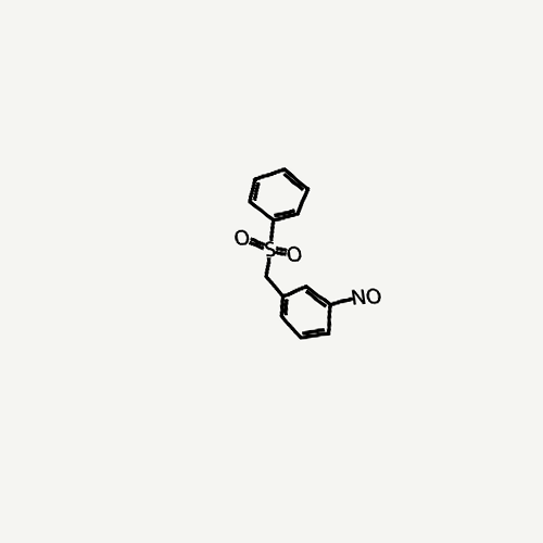 O=Nc1cccc(CS(=O)(=O)c2ccccc2)c1